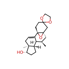 C[C@@H]1C[C@@]23CC4(CC[C@@]2(O3)C2=CC[C@]3(C)[C@@H](O)CC[C@H]3[C@@H]21)OCCO4